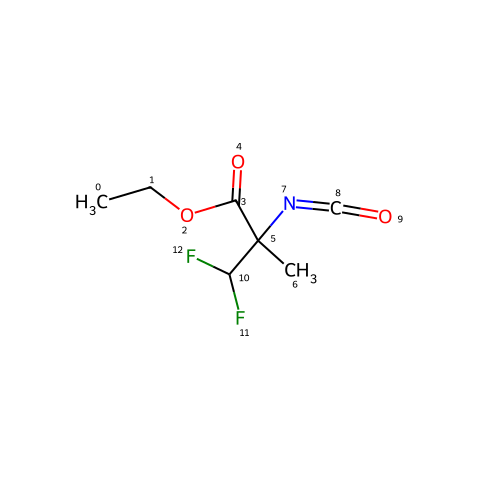 CCOC(=O)C(C)(N=C=O)C(F)F